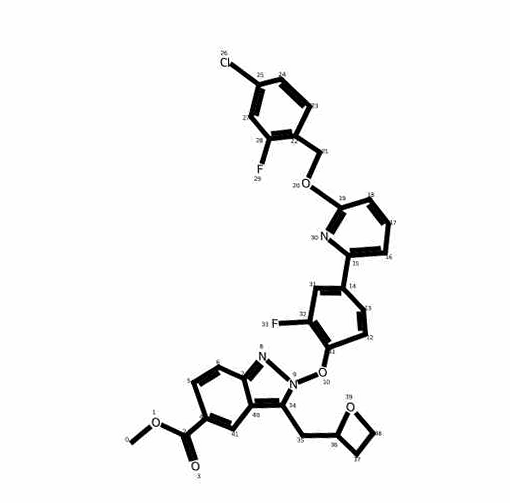 COC(=O)c1ccc2nn(Oc3ccc(-c4cccc(OCc5ccc(Cl)cc5F)n4)cc3F)c(CC3CCO3)c2c1